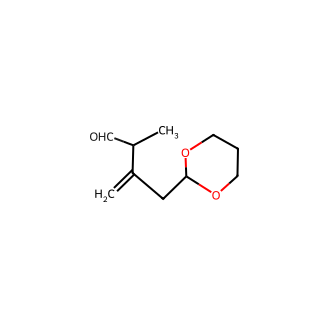 C=C(CC1OCCCO1)C(C)C=O